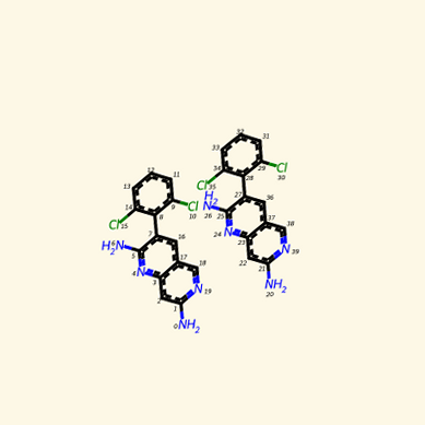 Nc1cc2nc(N)c(-c3c(Cl)cccc3Cl)cc2cn1.Nc1cc2nc(N)c(-c3c(Cl)cccc3Cl)cc2cn1